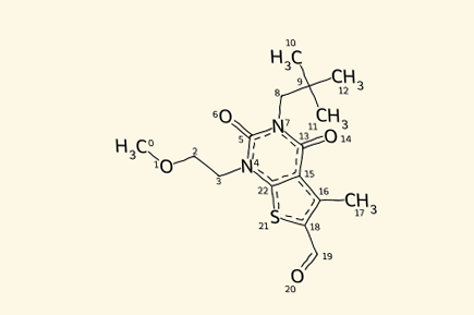 COCCn1c(=O)n(CC(C)(C)C)c(=O)c2c(C)c(C=O)sc21